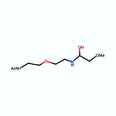 COCC(O)NCCOCCNC(C)=O